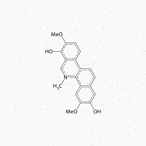 COc1cc2c(ccc3c4ccc(OC)c(O)c4c[n+](C)c23)cc1O